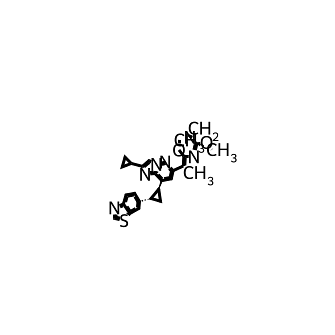 C=N/C(=N\C(OC)=C(/C)c1cc([C@H]2C[C@@H]2c2ccc3ncsc3c2)c2nc(C3CC3)cn2n1)OC